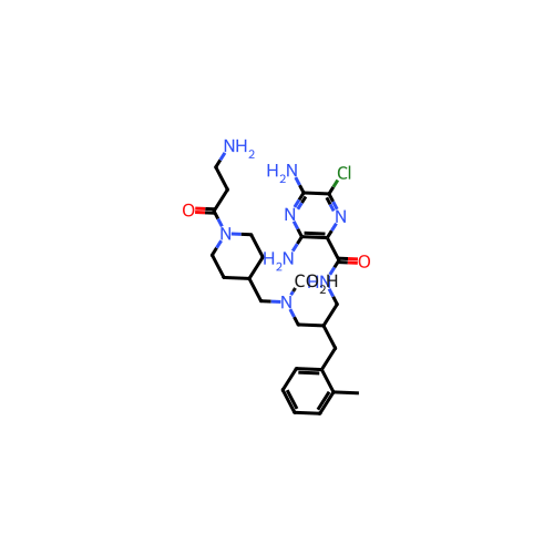 Cc1ccccc1CC(CNC(=O)c1nc(Cl)c(N)nc1N)CN(CC1CCN(C(=O)CCN)CC1)C(=O)O